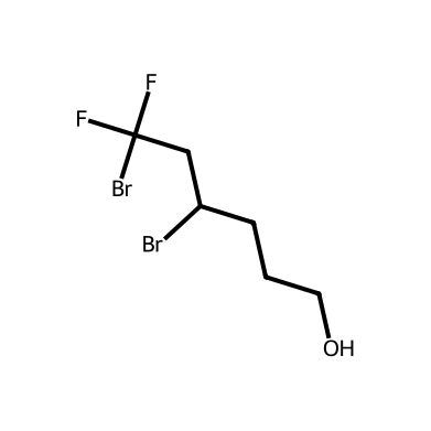 OCCCC(Br)CC(F)(F)Br